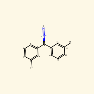 Cc1cccc(C(=[N+]=[N-])c2cccc(C)c2)c1